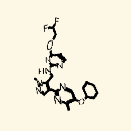 Cc1nc(-c2cnn(C)c2CNc2nccc(OCC(F)F)n2)ncc1OC1CCCCC1